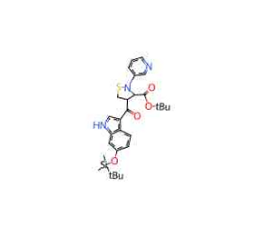 CC(C)(C)OC(=O)C1C(C(=O)c2c[nH]c3cc(O[Si](C)(C)C(C)(C)C)ccc23)CSN1c1cccnc1